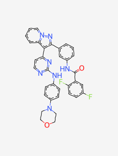 O=C(Nc1cccc(-c2nn3ccccc3c2-c2ccnc(Nc3ccc(N4CCOCC4)cc3)n2)c1)c1cc(F)ccc1F